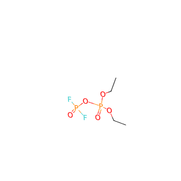 CCOP(=O)(OCC)OP(=O)(F)F